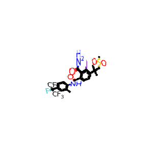 Cc1cc(C(F)(C(F)(F)F)C(F)(F)F)ccc1NC(=O)c1ccc(C(C)(C)CS(C)(=O)=O)c(I)c1C(N)=O